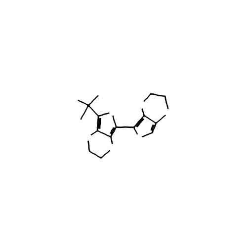 CCC(C)(C)c1sc(-c2scc3c2OCCO3)c2c1OCCO2